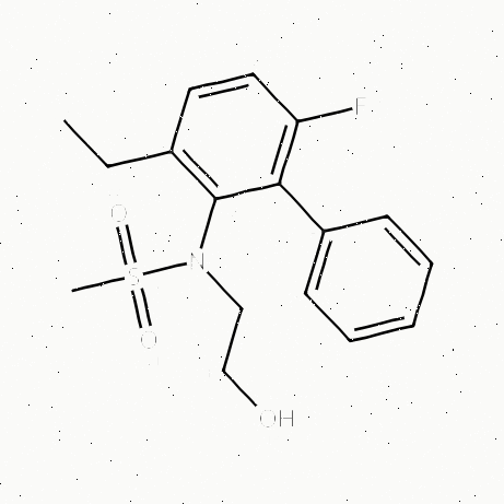 [CH2]Cc1ccc(F)c(-c2ccccc2)c1N(CCO)S(C)(=O)=O